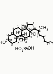 CC(C)CCC[C@@H](C)[C@H]1CC[C@H]2[C@@H]3CCC4C[C@@H](O)CC[C@]4(C)[C@H]3CC[C@]12C.O=S(=O)(O)O